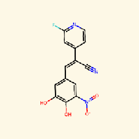 N#CC(=Cc1cc(O)c(O)c([N+](=O)[O-])c1)c1ccnc(F)c1